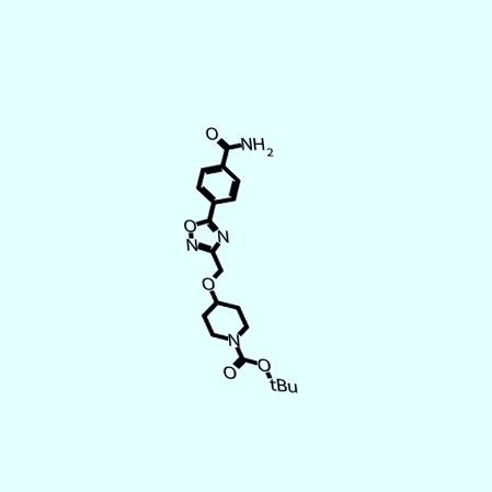 CC(C)(C)OC(=O)N1CCC(OCc2noc(-c3ccc(C(N)=O)cc3)n2)CC1